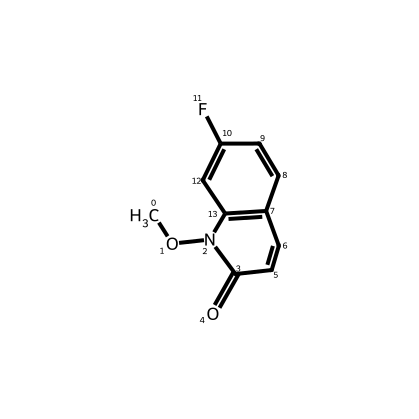 COn1c(=O)ccc2ccc(F)cc21